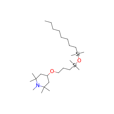 CCCCCCCC[Si](C)(C)O[Si](C)(C)CCCOC1CC(C)(C)N(C)C(C)(C)C1